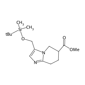 COC(=O)C1CCc2ncc(CO[Si](C)(C)C(C)(C)C)n2C1